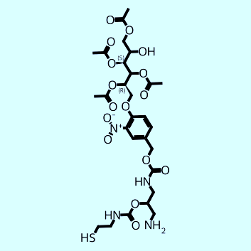 CC(=O)OCC(O)[C@H](OC(C)=O)C(OC(C)=O)[C@@H](COc1ccc(COC(=O)NCC(CN)OC(=O)NCCS)cc1[N+](=O)[O-])OC(C)=O